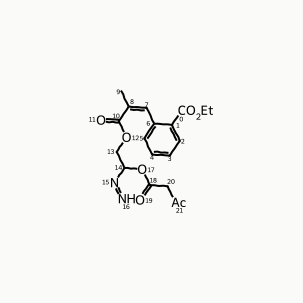 CCOC(=O)c1ccccc1C=C(C)C(=O)OCC(N=N)OC(=O)CC(C)=O